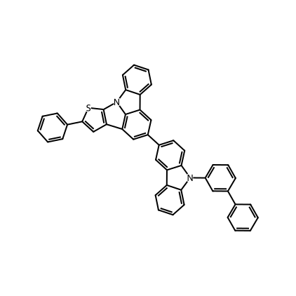 c1ccc(-c2cccc(-n3c4ccccc4c4cc(-c5cc6c7ccccc7n7c8sc(-c9ccccc9)cc8c(c5)c67)ccc43)c2)cc1